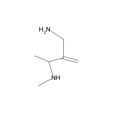 C=C(CN)C(C)NC